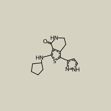 O=C1NCCc2c(-c3cc[nH]n3)sc(NC3CCCC3)c21